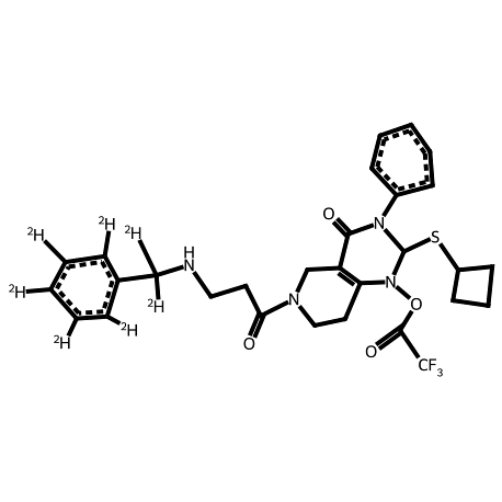 [2H]c1c([2H])c([2H])c(C([2H])([2H])NCCC(=O)N2CCC3=C(C2)C(=O)N(c2ccccc2)C(SC2CCC2)N3OC(=O)C(F)(F)F)c([2H])c1[2H]